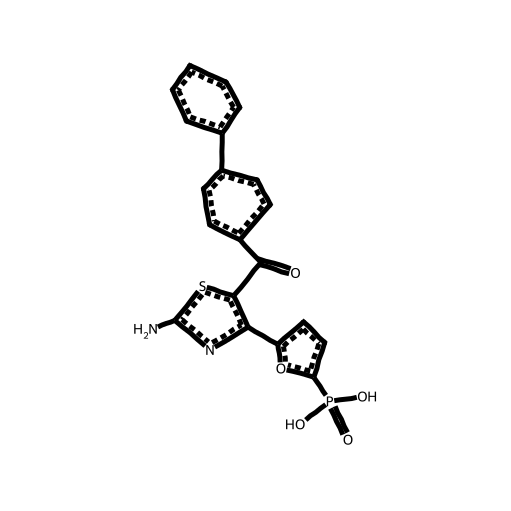 Nc1nc(-c2ccc(P(=O)(O)O)o2)c(C(=O)c2ccc(-c3ccccc3)cc2)s1